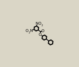 O=C(Oc1ccc(-c2ccccc2)cc1)c1cc([N+](=O)[O-])cc([N+](=O)[O-])c1